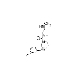 CNCCNC(=O)N1CCC[C@@H](Cc2cccc(Cl)c2)C1